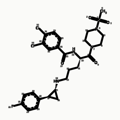 CS(=O)(=O)N1CCN(C(=O)[C@H](CCCN[C@@H]2C[C@H]2c2ccc(F)cc2)NC(=O)c2ccc(Cl)c(Cl)c2)CC1